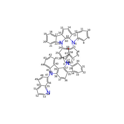 C1=Cc2ccc(-n3c4ccccc4c4ccc5c6ccccc6n(-c6ccc(-n7c8ccccc8c8ccc9c(c%10ccccc%10n9-c9ccc%10cccnc%10c9)c87)cc6)c5c43)cc2C1